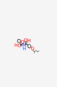 CCCC(C)COc1ccc([C@@H](NC(=O)[C@](C)(O)c2ccccc2)C(C)(C)O)cc1